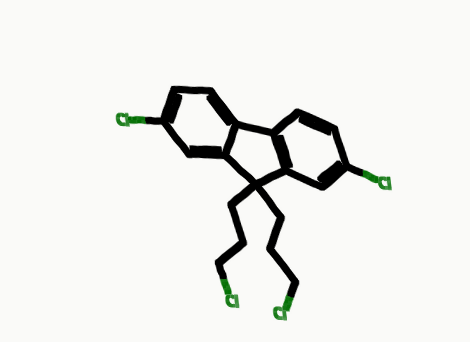 ClCCCC1(CCCCl)c2cc(Cl)ccc2-c2ccc(Cl)cc21